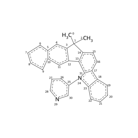 CC1(C)c2cc3ccccc3cc2-c2c1ccc1c3ccccc3n(-c3cccnc3)c21